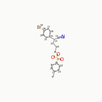 Cc1ccc(S(=O)(=O)OCCCC(C#N)c2ccc(Br)cc2)cc1